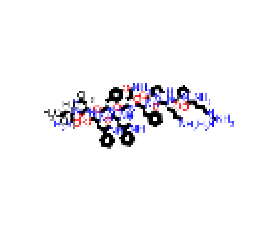 CC(C)C[C@H](NC(=O)[C@H](CC(C)C)NC(=O)[C@H](Cc1c[nH]c2ccccc12)NC(=O)[C@H](Cc1ccccc1)NC(=O)[C@H](Cc1c[nH]c2ccccc12)NC(=O)[C@H](CCC(N)=O)NC(=O)[C@H](Cc1ccccc1)NC(=O)[C@@H]1CCCN1C(=O)[C@H](CCCCN)NC(=O)[C@@H]1CCCN1C(=O)[C@@H](N)CCCN=C(N)N)C(N)=O